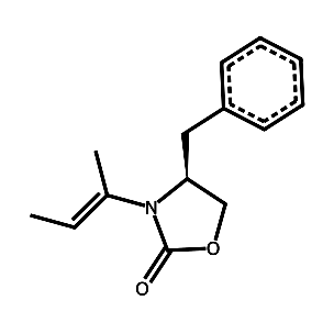 C/C=C(\C)N1C(=O)OC[C@@H]1Cc1ccccc1